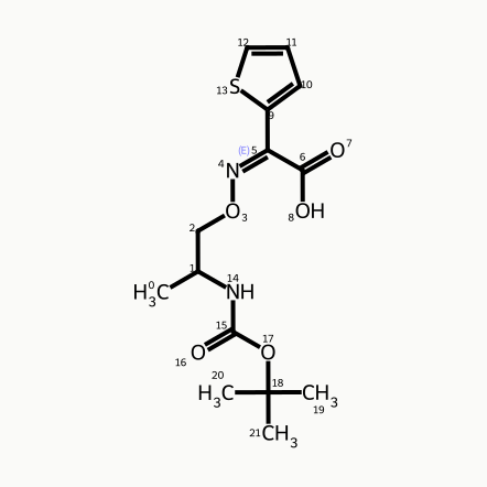 CC(CO/N=C(\C(=O)O)c1cccs1)NC(=O)OC(C)(C)C